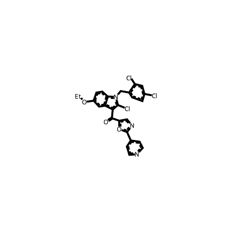 CCOc1ccc2c(c1)c(C(=O)c1cnc(-c3ccncc3)o1)c(Cl)n2Cc1ccc(Cl)cc1Cl